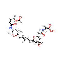 CC(=O)O[C@@H](C)/C=C\C(=O)N[C@@H]1C[C@H](C)[C@H](C/C=C(C)/C=C/[C@@H]2C[C@]3(CO3)C[C@@H](CC(=O)NC(C)(C)C(=O)O)O2)O[C@@H]1C